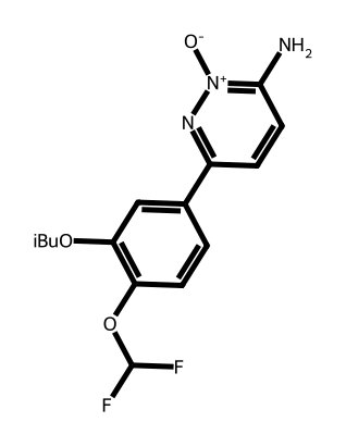 CC(C)COc1cc(-c2ccc(N)[n+]([O-])n2)ccc1OC(F)F